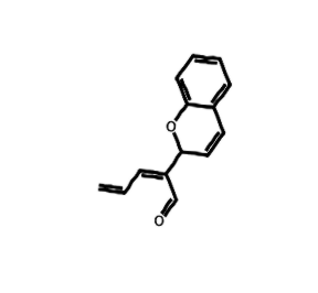 C=CC=C(C=O)C1C=Cc2ccccc2O1